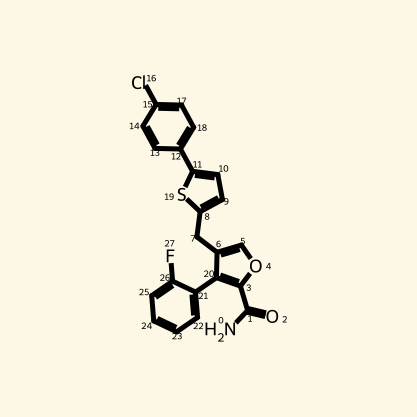 NC(=O)c1occ(Cc2ccc(-c3ccc(Cl)cc3)s2)c1-c1ccccc1F